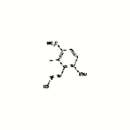 CCOC(=O)c1ccc(SC)c(C=NO)c1C